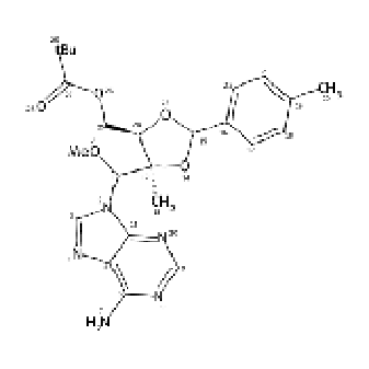 COC(n1cnc2c(N)ncnc21)[C@]1(C)OC(c2ccc(C)cc2)O[C@@H]1COC(=O)C(C)(C)C